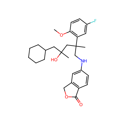 COc1ccc(F)cc1C(C)(CNc1ccc2c(c1)COC2=O)CC(C)(O)CC1CCCCC1